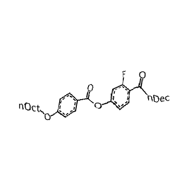 CCCCCCCCCCC(=O)c1ccc(OC(=O)c2ccc(OCCCCCCCC)cc2)cc1F